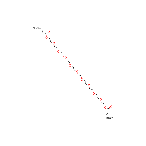 CCCCCCCCCCCCC(=O)OCCOCCOCCOCCOCCOCCOCCOCCOCCOCCOC(=O)CCCCCCCCCCCC